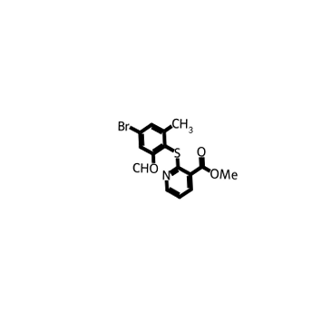 COC(=O)c1cccnc1Sc1c(C)cc(Br)cc1C=O